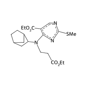 CCOC(=O)CCN(c1nc(SC)ncc1C(=O)OCC)C1CC2CCC1C2